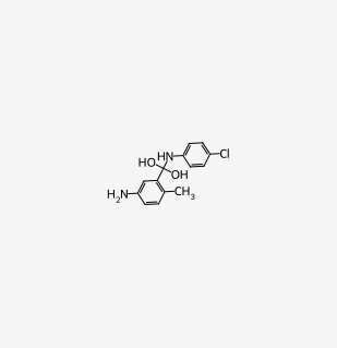 Cc1ccc(N)cc1C(O)(O)Nc1ccc(Cl)cc1